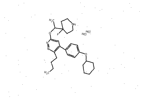 CCCCc1nnc(OC(C)C2(F)CCNCC2)cc1-c1ccc(OC2CCCCC2)cc1.Cl.Cl